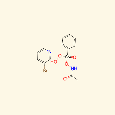 Brc1cccnc1.CC(=O)NO[As](=O)(OO)c1ccccc1